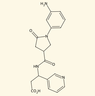 Nc1cccc(N2CC(C(=O)NC(CC(=O)O)c3cccnc3)CC2=O)c1